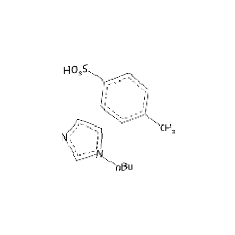 CCCCn1ccnc1.Cc1ccc(S(=O)(=O)O)cc1